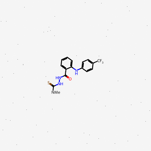 CNC(=S)NNC(=O)c1ccccc1Nc1ccc(C(F)(F)F)cc1